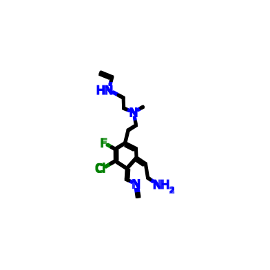 C=CNCCN(C)CCc1cc(=C/CN)/c(=C\N=C)c(Cl)c1F